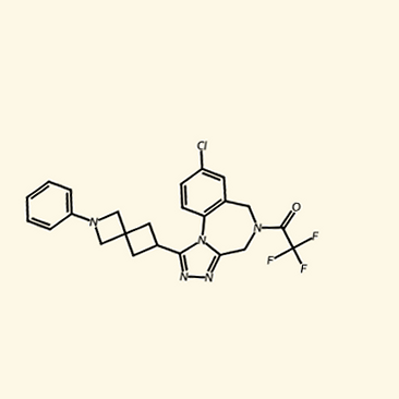 O=C(N1Cc2cc(Cl)ccc2-n2c(nnc2C2CC3(C2)CN(c2ccccc2)C3)C1)C(F)(F)F